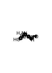 Nc1ncc(-c2ccc([C@@]34C=C[C@@H]3CN(CC3COC3)C4)cc2)cc1C(=O)NC1CCC(O)CC1